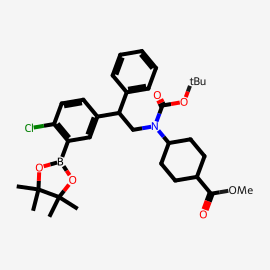 COC(=O)C1CCC(N(CC(c2ccccc2)c2ccc(Cl)c(B3OC(C)(C)C(C)(C)O3)c2)C(=O)OC(C)(C)C)CC1